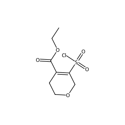 CCOC(=O)C1=C(S(=O)(=O)Cl)COCC1